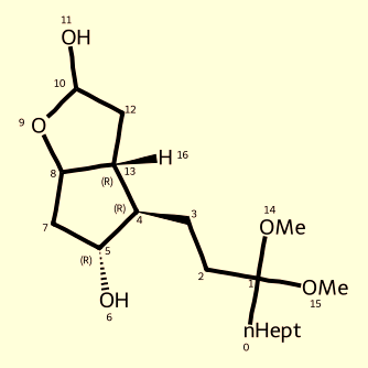 CCCCCCCC(CC[C@H]1[C@H](O)CC2OC(O)C[C@@H]21)(OC)OC